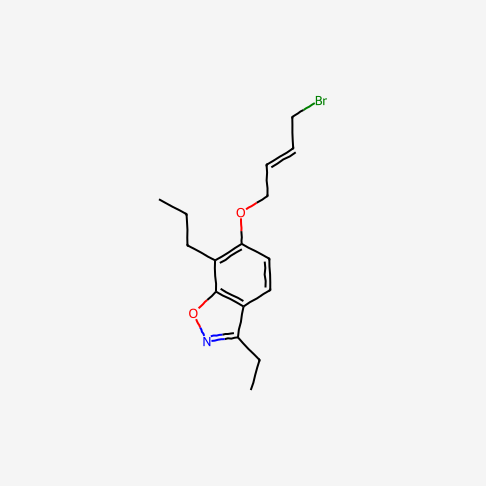 CCCc1c(OCC=CCBr)ccc2c(CC)noc12